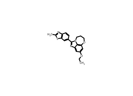 CCOc1cc2c3c(c1)nc(-c1ccc4nc(C)sc4c1)n3CCCO2